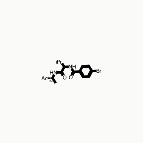 CC(=O)[C@H](C)NC(=O)C(NC(=O)c1ccc(Br)cc1)C(C)C